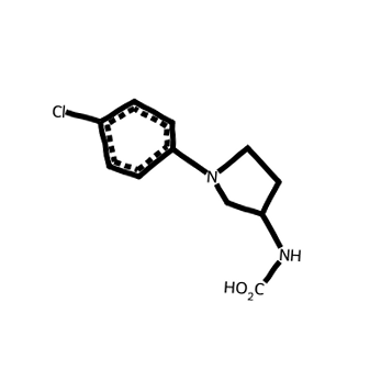 O=C(O)NC1CCN(c2ccc(Cl)cc2)C1